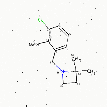 CNc1c(Cl)cccc1CN1CCC1(C)C